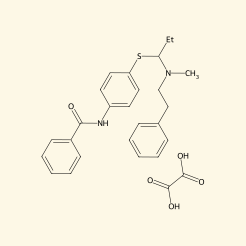 CCC(Sc1ccc(NC(=O)c2ccccc2)cc1)N(C)CCc1ccccc1.O=C(O)C(=O)O